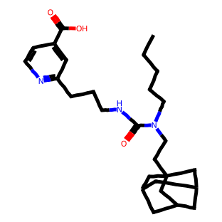 CCCCCN(CCC12CC3CC(CC(C3)C1)C2)C(=O)NCCCc1cc(C(=O)O)ccn1